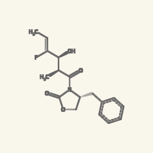 CC=C(F)[C@@H](O)[C@H](C)C(=O)N1C(=O)OC[C@H]1Cc1ccccc1